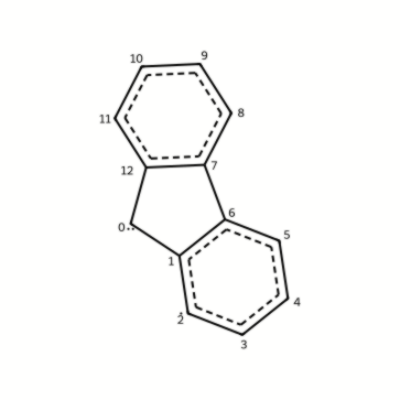 [C]1c2[c]cccc2-c2ccccc21